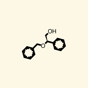 OC[C@H](OCc1ccccc1)c1ccccc1